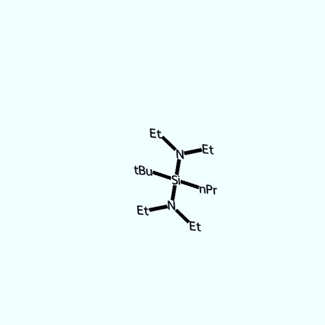 CCC[Si](N(CC)CC)(N(CC)CC)C(C)(C)C